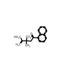 C=C(C(=O)O)C(C)(CC(=O)c1cccc2ccccc12)C(=O)O